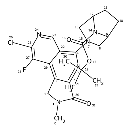 CN1Cc2c(nc(N3CC4CCC(C3)N4C(=O)OC(C)(C)C)c3cnc(Cl)c(F)c23)C1=O